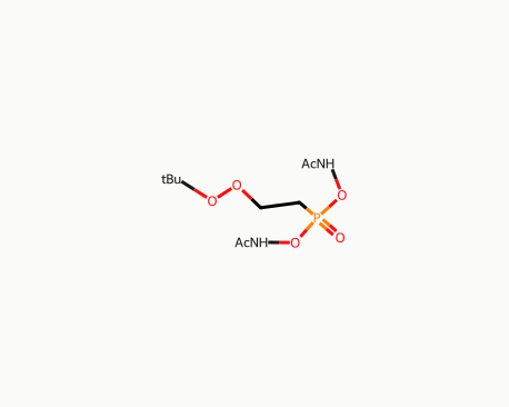 CC(=O)NOP(=O)(CCOOC(C)(C)C)ONC(C)=O